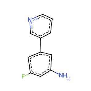 Nc1cc(F)cc(-c2cccnc2)c1